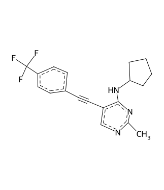 Cc1ncc(C#Cc2ccc(C(F)(F)F)cc2)c(NC2CCCC2)n1